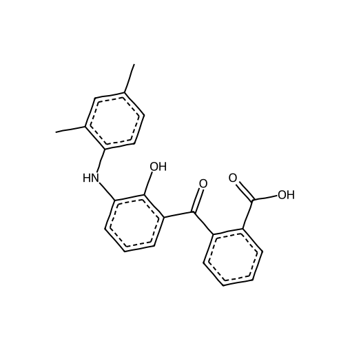 Cc1ccc(Nc2cccc(C(=O)c3ccccc3C(=O)O)c2O)c(C)c1